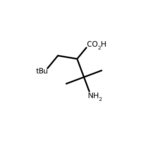 CC(C)(C)CC(C(=O)O)C(C)(C)N